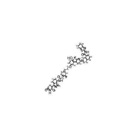 Cc1c(OCCCN2CCN(CC(=O)Nc3cccc4c(C5CCC(=O)NC5=O)nn(C)c34)C(F)C2)cccc1-c1ccc(N2CCc3cccc(C(=O)Nc4nc5ccccc5s4)c3C2)nc1C(=O)O